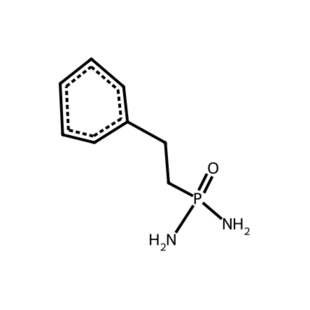 NP(N)(=O)CCc1ccccc1